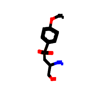 COc1ccc(S(=O)(=O)CC(N)CO)cc1